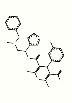 COC(=O)C1=C(C)NC(C)=C(C(=O)OC(CN(C)Cc2ccccc2)c2ccoc2)C1c1cccc([N+](=O)[O-])c1